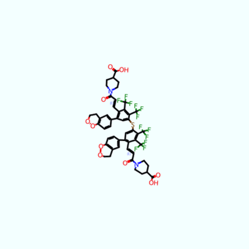 O=C(O)C1CCN(C(=O)/C=C/c2c(-c3ccc4c(c3)CCOO4)cc(Sc3cc(-c4ccc5c(c4)CCOO5)c(/C=C/C(=O)N4CCC(C(=O)O)CC4)c(C(F)(F)F)c3C(F)(F)F)c(C(F)(F)F)c2C(F)(F)F)CC1